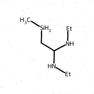 CCNC(C[SiH2]C)NCC